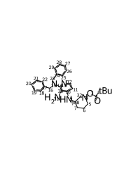 CC(C)(C)C(=O)ON1CCC[C@@H](Nc2ccnc(N(Cc3ccccc3)Cc3ccccc3)c2N)C1